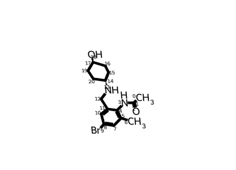 CC(=O)Nc1c(C)cc(Br)cc1CN[C@H]1CC[C@H](O)CC1